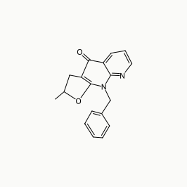 CC1Cc2c(n(Cc3ccccc3)c3ncccc3c2=O)O1